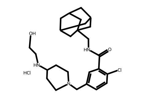 Cl.O=C(NCC12CC3CC(CC(C3)C1)C2)c1cc(CN2CCC(NCCO)CC2)ccc1Cl